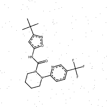 CC(C)(C)c1cc(NC(=O)N2CCCCN2c2ccc(C(F)(F)F)cn2)on1